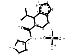 CC(C)C1c2[nH]cnc2CCN1C(=O)O[C@H]1CCOC1.CS(=O)(=O)O